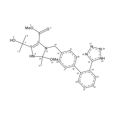 COC(=O)C1=C(C(C)(C)O)NC(C)(OC)N1Cc1ccc(-c2ccccc2-c2nnn[nH]2)cc1